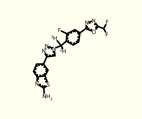 [2H]C([2H])(c1ccc(-c2nnc(C(F)F)o2)cc1F)n1cc(-c2ccc3nc(N)sc3c2)nn1